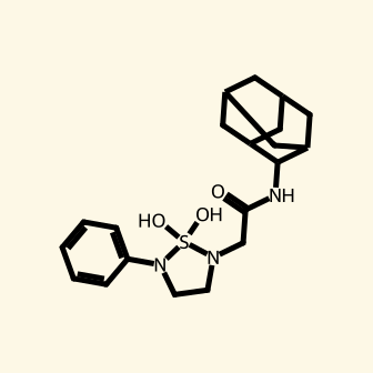 O=C(CN1CCN(c2ccccc2)S1(O)O)NC1C2CC3CC(C2)CC1C3